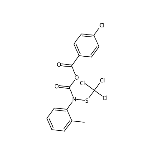 Cc1ccccc1N(SC(Cl)(Cl)Cl)C(=O)OC(=O)c1ccc(Cl)cc1